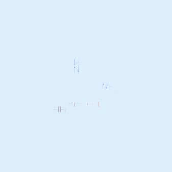 Br.Br.NC1CNCCCC1O